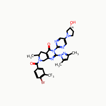 Cc1cc(C)n(-c2nc3c(c(=O)n2-c2ncc(N4CC[C@@H](O)C4)cn2)CC(C)N(C(=O)c2ccc(Br)c(C(F)(F)F)c2)C3)n1